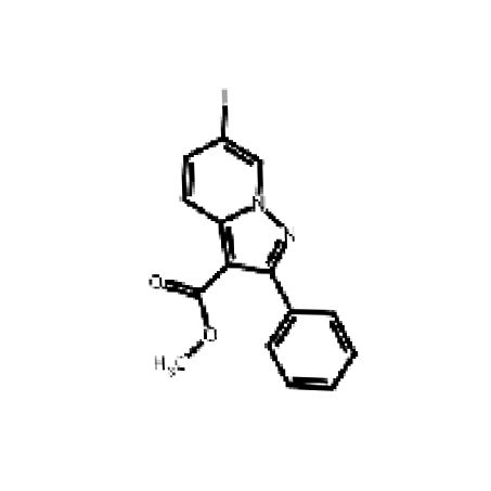 COC(=O)c1c(-c2ccccc2)nn2cc(I)ccc12